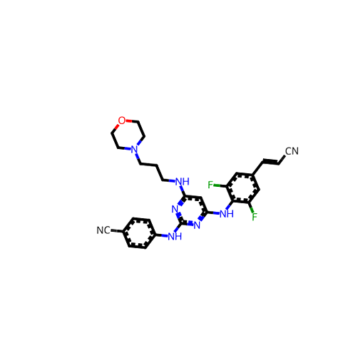 N#CC=Cc1cc(F)c(Nc2cc(NCCCN3CCOCC3)nc(Nc3ccc(C#N)cc3)n2)c(F)c1